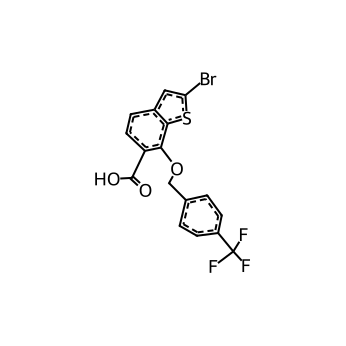 O=C(O)c1ccc2cc(Br)sc2c1OCc1ccc(C(F)(F)F)cc1